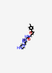 Cc1ccc(-c2ccc(CNC(=O)Cn3cc(CN4CCNCC4)nn3)o2)cc1